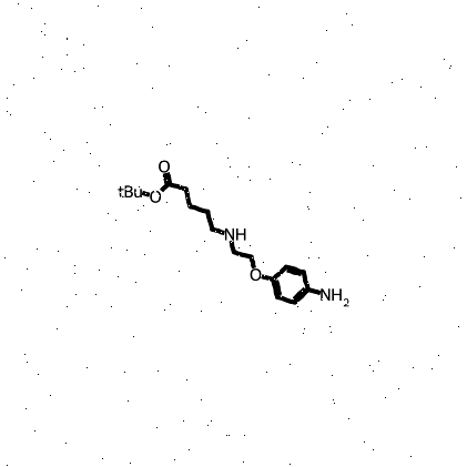 CC(C)(C)OC(=O)CCCCNCCOc1ccc(N)cc1